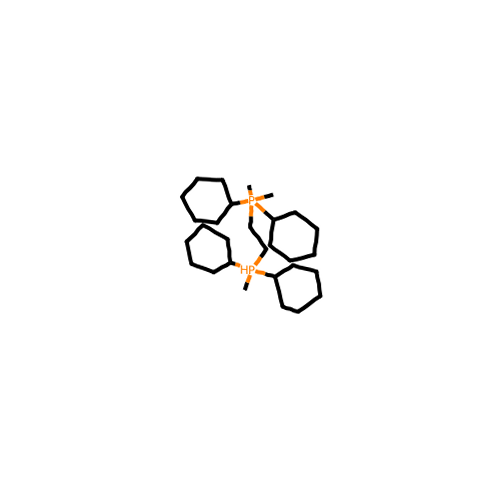 C[PH](CCP(C)(C)(C1CCCCC1)C1CCCCC1)(C1CCCCC1)C1CCCCC1